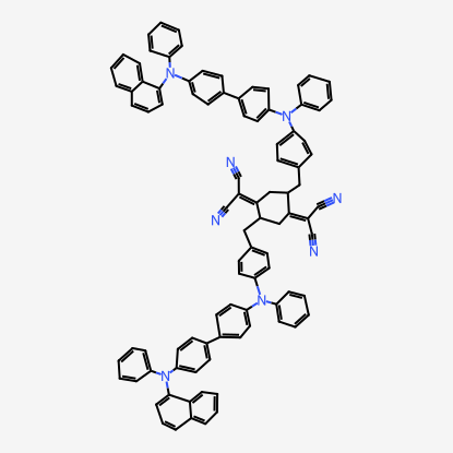 N#CC(C#N)=C1CC(Cc2ccc(N(c3ccccc3)c3ccc(-c4ccc(N(c5ccccc5)c5cccc6ccccc56)cc4)cc3)cc2)C(=C(C#N)C#N)CC1Cc1ccc(N(c2ccccc2)c2ccc(-c3ccc(N(c4ccccc4)c4cccc5ccccc45)cc3)cc2)cc1